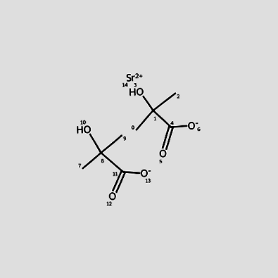 CC(C)(O)C(=O)[O-].CC(C)(O)C(=O)[O-].[Sr+2]